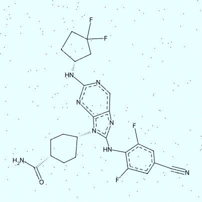 N#Cc1cc(F)c(Nc2nc3cnc(N[C@@H]4CCC(F)(F)C4)nc3n2[C@H]2CC[C@@H](C(N)=O)CC2)c(F)c1